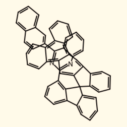 c1ccc2c(c1)-c1cc3c4ccccc4c4ccccc4c3cc1C21c2ccccc2-c2cccc(-c3nc(-c4ccc5ccccc5c4)c4ccccc4n3)c21